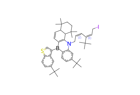 CC(C)(C)C(/C=C\CN1C2=C(C=CC3C2C(C)(C)CCC3(C)C)B(c2csc3ccc(C(C)(C)C)cc23)c2ccc(C(C)(C)C)cc21)=C/CI